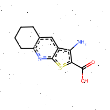 Nc1c(C(=O)O)sc2nc3c(cc12)CCCC3